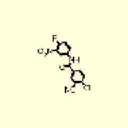 N#Cc1cc(C(=O)Nc2ccc(F)c([N+](=O)[O-])c2)ccc1Cl